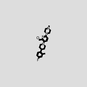 Cc1cc(F)ccc1C1CCN(c2ccc(N3CCN(C)CC3)nc2C=O)CC1